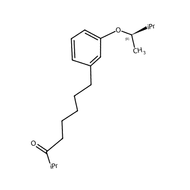 CC(C)C(=O)CCCCCc1cccc(O[C@H](C)C(C)C)c1